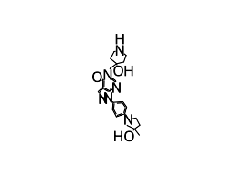 CC1(O)CCN(c2ccc(-n3ncc4c(=O)n(CC5(O)CCNCC5)cnc43)cc2)C1